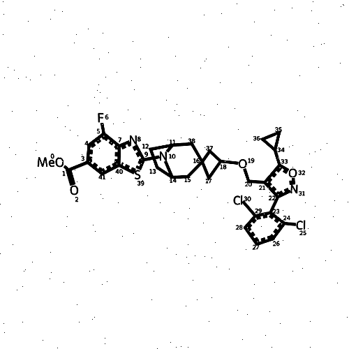 COC(=O)c1cc(F)c2nc(N3C4CCC3CC3(CC(OCc5c(-c6c(Cl)cccc6Cl)noc5C5CC5)C3)C4)sc2c1